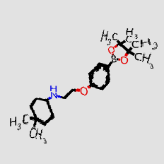 CC1(C)CCC(NCCOc2ccc(B3OC(C)(C)C(C)(C)O3)cc2)CC1